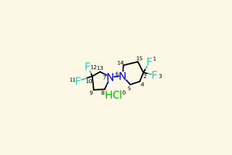 Cl.FC1(F)CCN(N2CCC(F)(F)C2)CC1